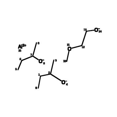 CCC(C)[O-].CCC(C)[O-].COCC[O-].[Al+3]